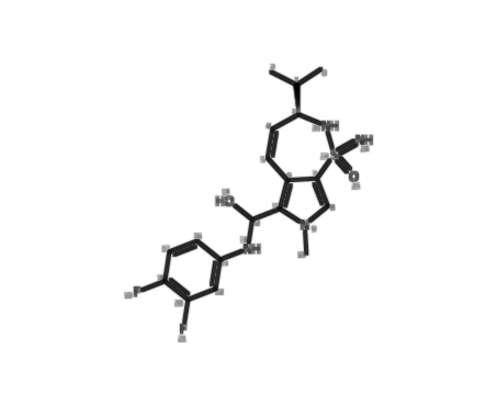 CC(C)[C@@H]1C=Cc2c(cn(C)c2C(O)Nc2ccc(F)c(F)c2)S(=N)(=O)N1